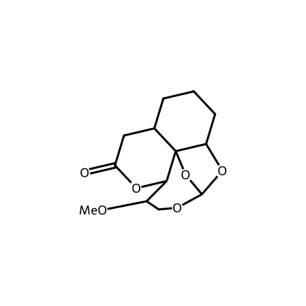 COC1COC2OC3CCCC4CC(=O)OC1C43O2